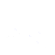 CCOC(=O)C1(NCc2ccc(F)cc2)CCN(c2ncc3ccsc3n2)C(C)C1Cl